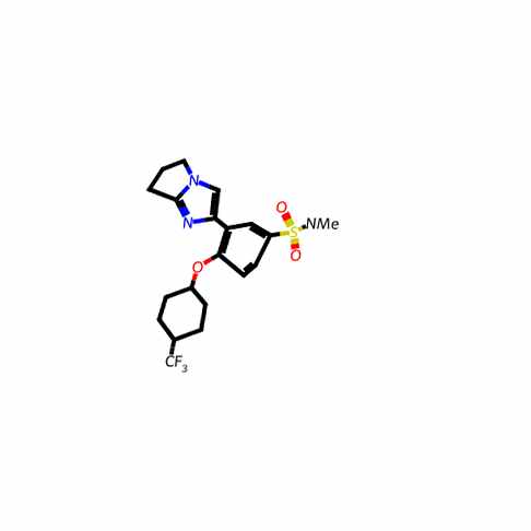 CNS(=O)(=O)c1ccc(OC2CCC(C(F)(F)F)CC2)c(-c2cn3c(n2)CCC3)c1